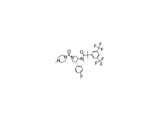 CN1CCN(C(=O)N2C[C@@H](N(C)C(=O)C(C)(C)c3cc(C(F)(F)F)cc(C(F)(F)F)c3)[C@H](c3ccc(F)cc3)C2)CC1